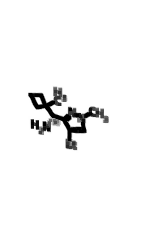 CCc1cn(C)nc1[C@H](N)C1(C)CCC1